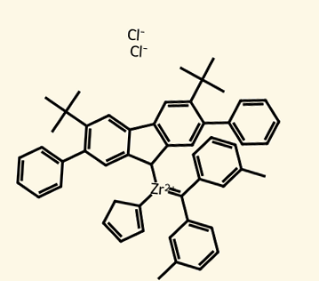 Cc1cccc([C](c2cccc(C)c2)=[Zr+2]([C]2=CC=CC2)[CH]2c3cc(-c4ccccc4)c(C(C)(C)C)cc3-c3cc(C(C)(C)C)c(-c4ccccc4)cc32)c1.[Cl-].[Cl-]